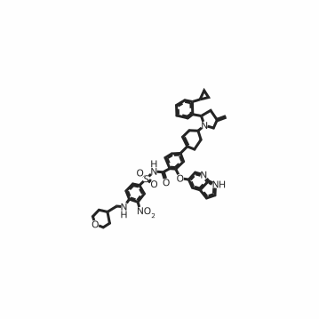 C=C1CC(c2ccccc2C2CC2)N(C2CC=C(c3ccc(C(=O)NS(=O)(=O)c4ccc(NCC5CCOCC5)c([N+](=O)[O-])c4)c(Oc4cnc5[nH]ccc5c4)c3)CC2)C1